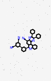 N#Cc1cc(C#N)cc(-c2cccc(-c3nc4ccccc4c4c3cc(C#N)c3nc(-c5ccccc5)c(-c5ccccc5)nc34)c2)c1